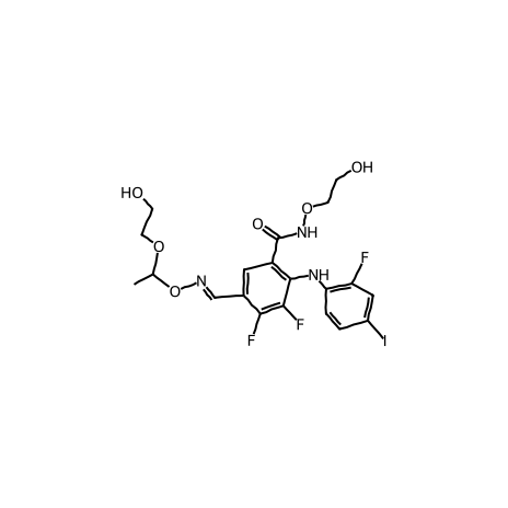 CC(OCCO)ON=Cc1cc(C(=O)NOCCO)c(Nc2ccc(I)cc2F)c(F)c1F